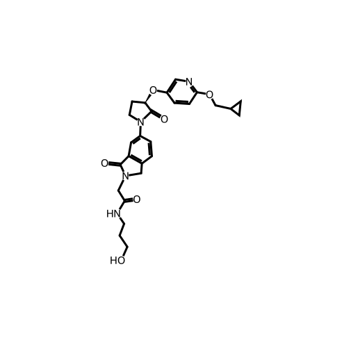 O=C(CN1Cc2ccc(N3CC[C@@H](Oc4ccc(OCC5CC5)nc4)C3=O)cc2C1=O)NCCCO